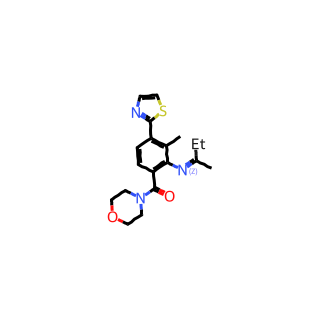 CC/C(C)=N\c1c(C(=O)N2CCOCC2)ccc(-c2nccs2)c1C